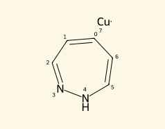 C1=CC=NNC=C1.[Cu]